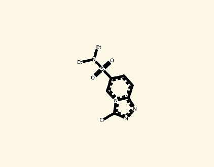 CCN(CC)S(=O)(=O)c1ccc2nnc(Cl)n2c1